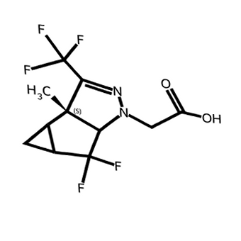 C[C@@]12C(C(F)(F)F)=NN(CC(=O)O)C1C(F)(F)C1CC12